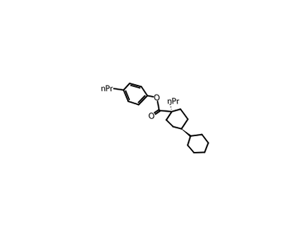 CCCc1ccc(OC(=O)[C@]2(CCC)CC[C@H](C3CCCCC3)CC2)cc1